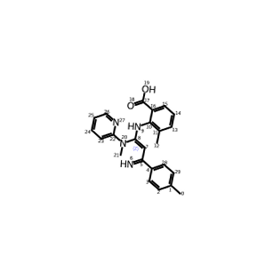 Cc1ccc(C(=N)/C=C(/Nc2c(C)cccc2C(=O)O)N(C)c2ccccn2)cc1